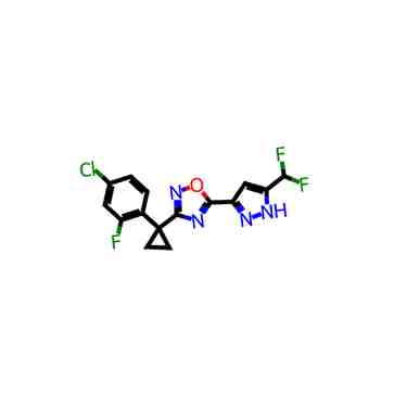 Fc1cc(Cl)ccc1C1(c2noc(-c3cc(C(F)F)[nH]n3)n2)CC1